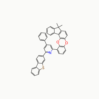 CC1(C)c2ccccc2-c2c1ccc1c2Oc2c(cccc2-c2cc(-c3ccccc3)cc(-c3ccc4c(c3)sc3ccccc34)n2)O1